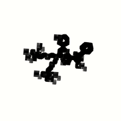 Cc1nc(-c2ccccc2)sc1-c1cnn2c(N(COCC[Si](C)(C)C)COCC[Si](C)(C)C)cc(C3CCCNC3)nc12